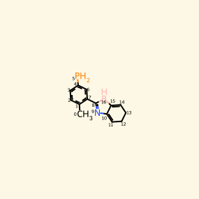 Cc1ccc(P)cc1C1=NC2=CCCC=C2B1